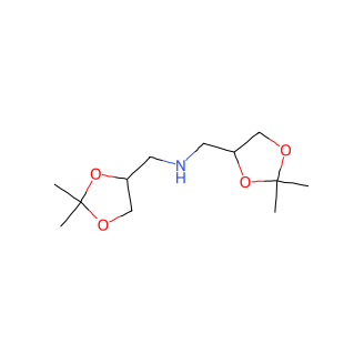 CC1(C)OCC(CNCC2COC(C)(C)O2)O1